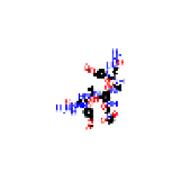 CC(C)C(NC(=O)c1cc(NC(=O)CCN2C(=O)C=CC2=O)cc(C(=O)NC(C(=O)N[C@@H](CCCNC(N)=O)C(=O)Nc2ccc(COC=O)cc2)C(C)C)c1)C(=O)N[C@@H](CCCNC(N)=O)C(=O)Nc1ccc(COC=O)cc1